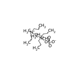 C=CC[N+](C)(C)CC=C.C=CC[N+](C)(C)CC=C.O=S(=O)([O-])[O-]